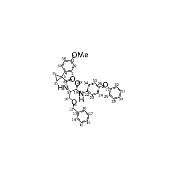 COc1ccc(C2(C(=O)NC(COCc3ccccc3)C(=O)Nc3ccc(Oc4ccccc4)cc3)CC2)cc1